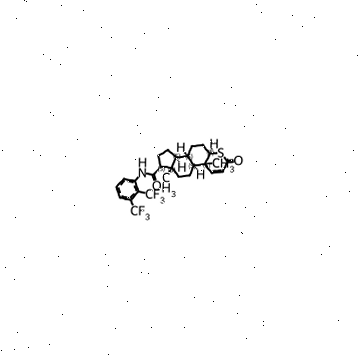 C[C@]12C=CC(=O)S[C@@H]1CC[C@@H]1[C@@H]2CC[C@]2(C)[C@@H](C(=O)Nc3cccc(C(F)(F)F)c3C(F)(F)F)CC[C@@H]12